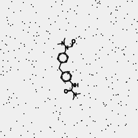 CN(C)C(=O)Nc1ccc(Cc2ccc(N(C=O)N(C)C)cc2)cc1